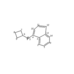 c1ccc2c([P]C3CCC3)cccc2c1